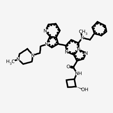 CN1CCN(CCn2cc(-c3cc(N(C)Cc4ccccc4)n4ncc(C(=O)NC5CC[C@H]5O)c4n3)c3cccnc32)CC1